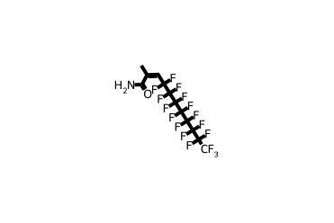 CC(=CC(F)(F)C(F)(F)C(F)(F)C(F)(F)C(F)(F)C(F)(F)C(F)(F)C(F)(F)F)C(N)=O